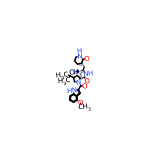 COc1cccc2[nH]c(C(=O)N3CC(C(C)(C)C)C[C@H]3C(=O)N[C@H](C#N)C[C@@H]3CCCNC3=O)cc12